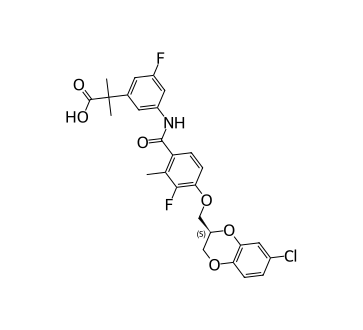 Cc1c(C(=O)Nc2cc(F)cc(C(C)(C)C(=O)O)c2)ccc(OC[C@@H]2COc3ccc(Cl)cc3O2)c1F